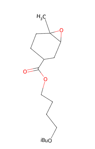 CC(C)COCCCCOC(=O)C1CCC2(C)OC2C1